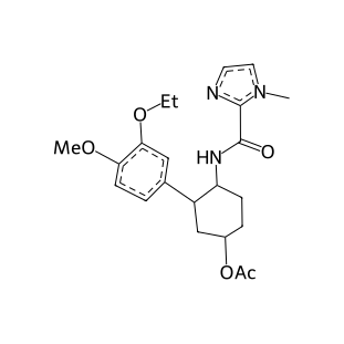 CCOc1cc(C2CC(OC(C)=O)CCC2NC(=O)c2nccn2C)ccc1OC